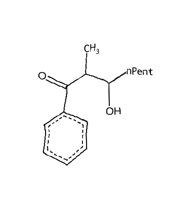 CCCCCC(O)C(C)C(=O)c1ccccc1